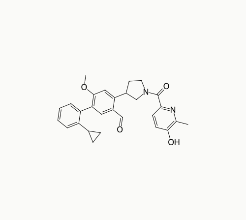 COc1cc(C2CCN(C(=O)c3ccc(O)c(C)n3)C2)c(C=O)cc1-c1ccccc1C1CC1